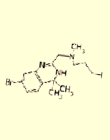 CN(CCCI)CC1=Nc2cc(Br)ccc2C(C)(C)N1